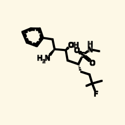 CNS(=O)(=O)[C@H](CCC(C)(C)F)C[C@H](O)[C@@H](N)Cc1ccccc1